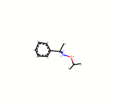 C/C(=N\OC(C)C)c1c[c]ccc1